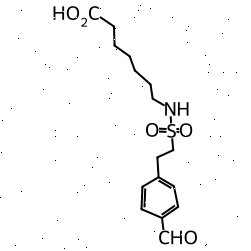 O=Cc1ccc(CCS(=O)(=O)NCCCCCCC(=O)O)cc1